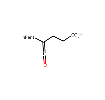 CCCCCC(=C=O)CCC(=O)O